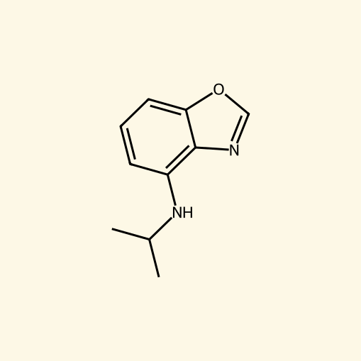 CC(C)Nc1cccc2ocnc12